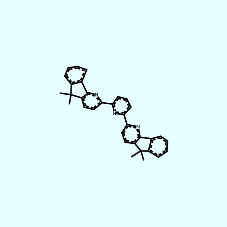 CC1(C)c2ccccc2-c2nc(-c3cccc(-c4ccc5c(n4)-c4ccccc4C5(C)C)n3)ccc21